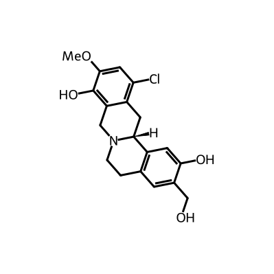 COc1cc(Cl)c2c(c1O)CN1CCc3cc(CO)c(O)cc3[C@H]1C2